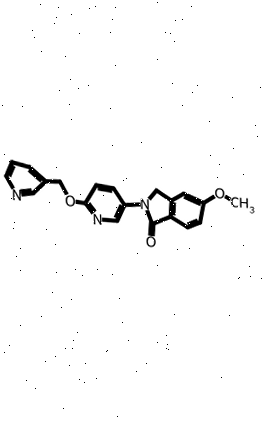 COc1ccc2c(c1)CN(c1ccc(OCc3cccnc3)nc1)C2=O